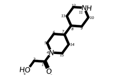 O=C(CO)N1CCC(C2CCNCC2)CC1